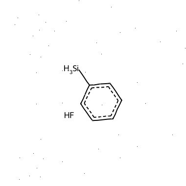 F.[SiH3]c1ccccc1